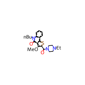 CCCCn1c(=O)c2c(OC)c(C(=O)N3CCN(CC)CC3)sc2c2ccccc21